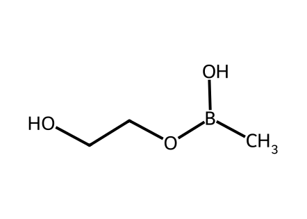 CB(O)OCCO